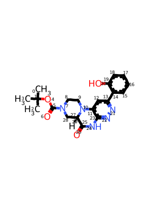 CC(C)(C)OC(=O)N1CCN2c3cc(-c4ccccc4O)nnc3NC(=O)[C@@H]2C1